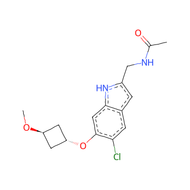 CO[C@H]1C[C@H](Oc2cc3[nH]c(CNC(C)=O)cc3cc2Cl)C1